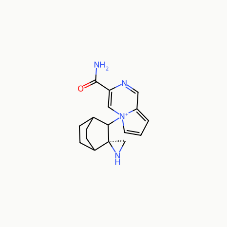 NC(=O)C1=C[N+]2(C3C4CCC(CC4)[C@@]34CN4)C=CC=C2C=N1